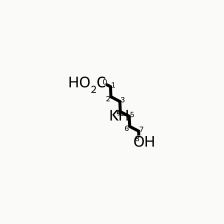 O=C(O)CCCCCCCO.[KH]